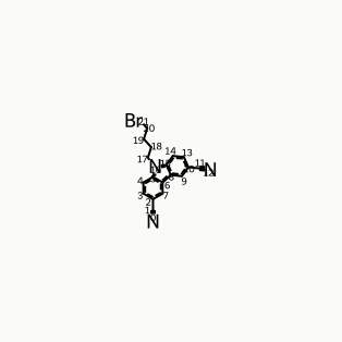 N#Cc1ccc2c(c1)c1cc(C#N)ccc1n2CCCCBr